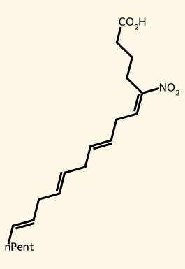 CCCCCC=CCC=CCC=CCC=C(CCCC(=O)O)[N+](=O)[O-]